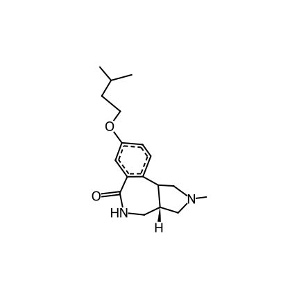 CC(C)CCOc1ccc2c(c1)C(=O)NC[C@H]1CN(C)CC21